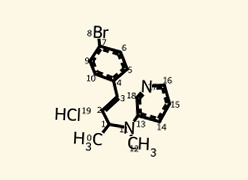 CC(C=Cc1ccc(Br)cc1)N(C)c1cccnc1.Cl